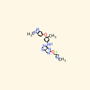 Cc1cc(Nc2ncnc3cnc(OCC4(F)CN(C)C4)nc23)ccc1Oc1ccc2c(c1)ncn2C